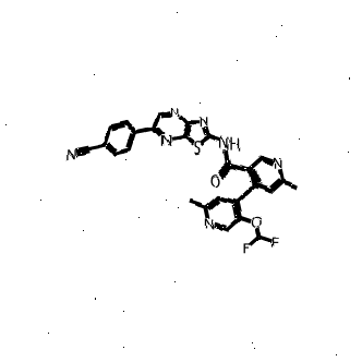 Cc1cc(-c2cc(C)ncc2C(=O)Nc2nc3ncc(-c4ccc(C#N)cc4)nc3s2)c(OC(F)F)cn1